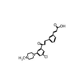 CN1CCN(c2cc(Cl)cc(C(=O)/C=C/c3cccc(/C=C/C(=O)O)c3)c2)CC1